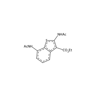 CCOC(=O)c1c(NC(C)=O)sc2c(NC(C)=O)cccc12